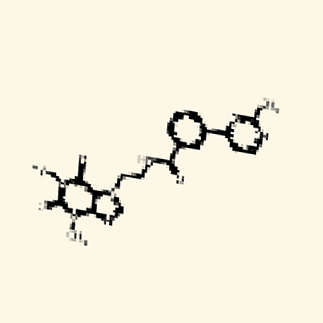 Cc1nccc(-c2cccc(C(=O)NCCn3cnc4c3c(=O)n(C)c(=O)n4C)c2)n1